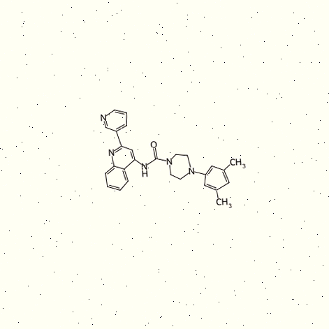 Cc1cc(C)cc(N2CCN(C(=O)Nc3cc(-c4cccnc4)nc4ccccc34)CC2)c1